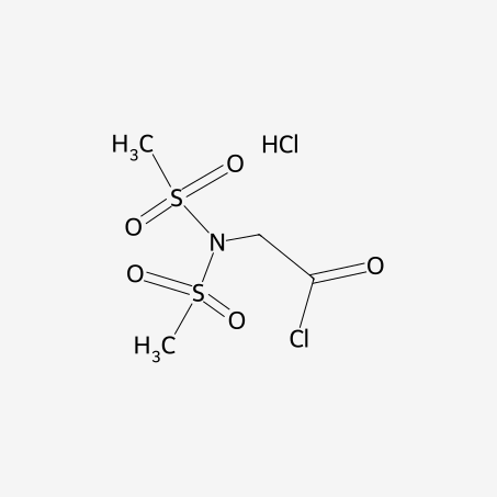 CS(=O)(=O)N(CC(=O)Cl)S(C)(=O)=O.Cl